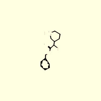 O=C(OCc1ccccc1)C(F)C1CCCNC1